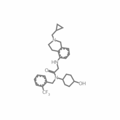 O=C(CNc1cccc2c1CCN(CC1CC1)C2)N(Cc1ccccc1C(F)(F)F)C1CCC(O)CC1